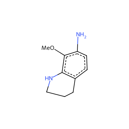 COc1c(N)ccc2c1NCCC2